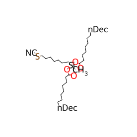 CCCCCCCCCCCCCCCCCC(=O)O[Si](C)(CCCCCCCSC#N)OC(=O)CCCCCCCCCCCCCCCCC